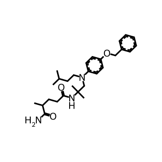 CC(C)CCN(CC(C)(C)NC(=O)CCC(C)C(N)=O)c1ccc(OCc2ccccc2)cc1